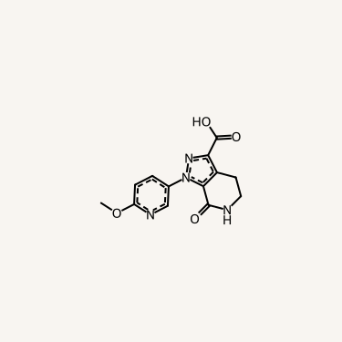 COc1ccc(-n2nc(C(=O)O)c3c2C(=O)NCC3)cn1